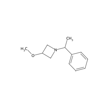 COC1CN(C(C)c2c[c]ccc2)C1